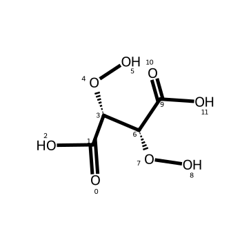 O=C(O)[C@H](OO)[C@@H](OO)C(=O)O